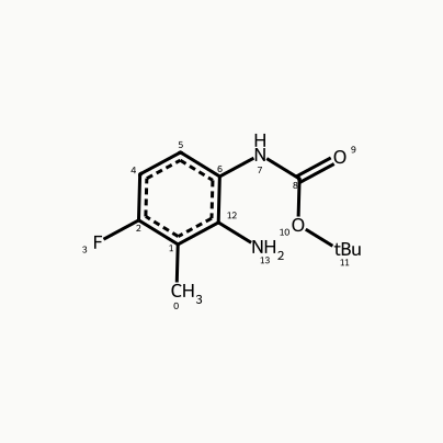 Cc1c(F)ccc(NC(=O)OC(C)(C)C)c1N